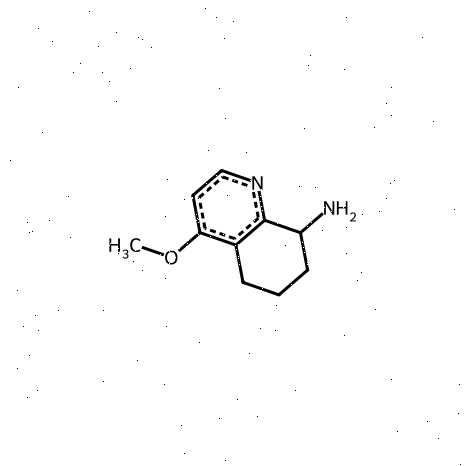 COc1ccnc2c1CCCC2N